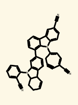 N#CC1=CC=C(n2c3ccc(C#N)cc3c3cccc(-c4ccc5c(c4)N(c4ccccc4C#N)C4CCC=CC54)c32)CC#C1